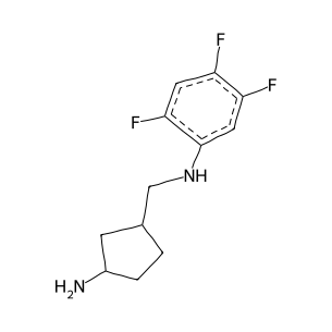 NC1CCC(CNc2cc(F)c(F)cc2F)C1